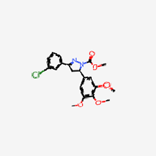 COC(=O)N1N=C(c2cccc(Cl)c2)CC1c1cc(OC)c(OC)c(OC)c1